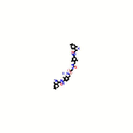 Cc1cc(CC(N)OC(=O)CNC(=O)CCc2c(C)cc(-c3noc(-c4cncc5c4CCC(C)(C)C5)n3)cc2C)ccc1-c1noc(-c2cncc3c2CCC(C)(C)C3)n1